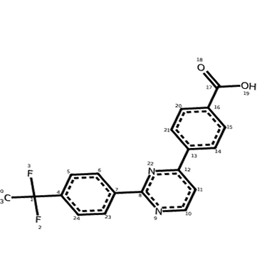 CC(F)(F)c1ccc(-c2nccc(-c3ccc(C(=O)O)cc3)n2)cc1